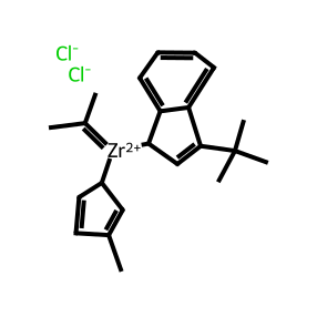 CC1=C[CH]([Zr+2](=[C](C)C)[CH]2C=C(C(C)(C)C)c3ccccc32)C=C1.[Cl-].[Cl-]